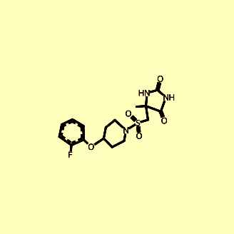 CC1(CS(=O)(=O)N2CCC(Oc3ccccc3F)CC2)NC(=O)NC1=O